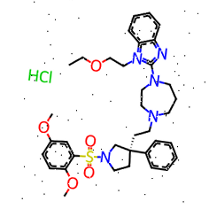 CCOCCn1c(N2CCCN(CC[C@]3(c4ccccc4)CCN(S(=O)(=O)c4cc(OC)ccc4OC)C3)CC2)nc2ccccc21.Cl